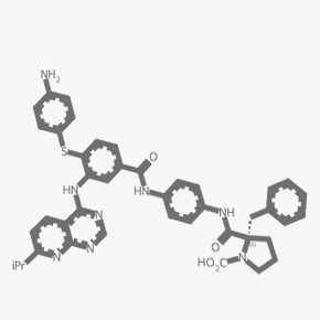 CC(C)c1ccc2c(Nc3cc(C(=O)Nc4ccc(NC(=O)[C@@]5(Cc6ccccc6)CCCN5C(=O)O)cc4)ccc3Sc3ccc(N)cc3)ncnc2n1